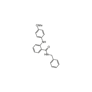 COc1ccc(Nc2ccccc2C(=O)NCc2ccccc2)cc1